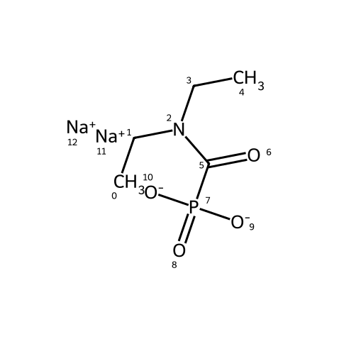 CCN(CC)C(=O)P(=O)([O-])[O-].[Na+].[Na+]